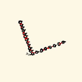 CC(=O)Cc1ccc(C)cc1.Cc1ccccc1.Cc1ccccc1.Cc1ccccc1.Cc1ccccc1.Cc1ccccc1.Cc1ccccc1.Cc1ccccc1.Cc1ccccc1.Cc1ccccc1.Cc1ccccc1.Cc1ccccc1.Cc1ccccc1.Cc1ccccc1.Cc1ccccc1.Cc1ccccc1.Cc1ccccc1.Cc1ccccc1.Cc1ccccc1